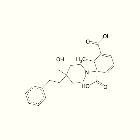 CC1C(C(=O)O)=CC=CC1(C(=O)O)N1CCC(CO)(CCc2ccccc2)CC1